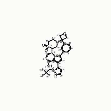 Nc1ncnn2c(-c3cccc(C4(N5CCS(=O)(=O)CC5)COC4)c3)cc(-c3ccnn3CC(F)(F)F)c12